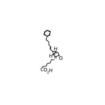 O=C(O)CCCCCC[C@H]1C(=O)C[C@H]2C(C=CCCCc3ccccc3)[C@@H]12